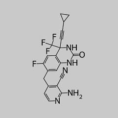 N#Cc1c(Cc2cc3c(cc2F)C(C#CC2CC2)(C(F)(F)F)NC(=O)N3)ccnc1N